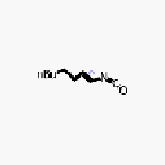 CCCCCC/C=C/N=C=O